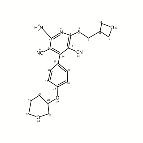 N#Cc1c(N)nc(SCC2COC2)c(C#N)c1-c1ccc(OC2CCCOC2)cc1